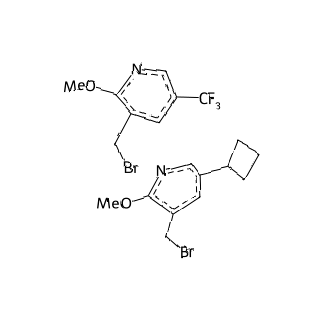 COc1ncc(C(F)(F)F)cc1CBr.COc1ncc(C2CCC2)cc1CBr